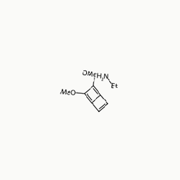 CCN.COc1c2ccc-2c1OC